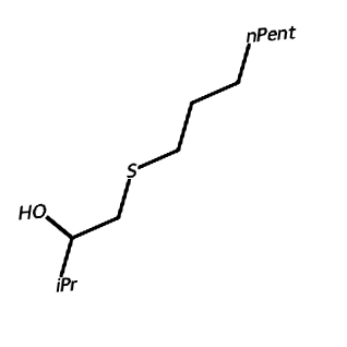 CCCCCCCCSCC(O)C(C)C